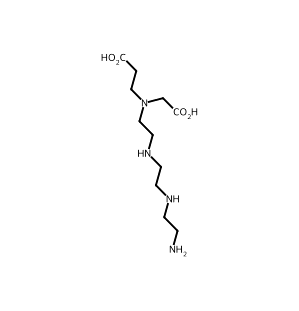 NCCNCCNCCN(CCC(=O)O)CC(=O)O